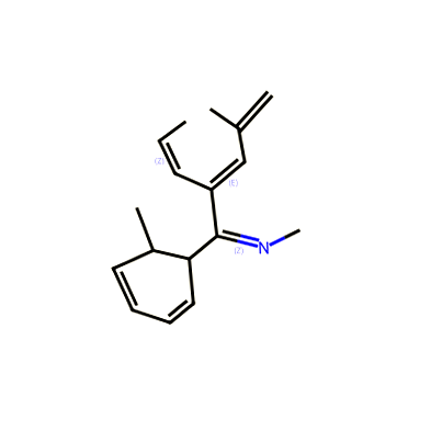 C=C(C)/C=C(\C=C/C)C(=N\C)/C1C=CC=CC1C